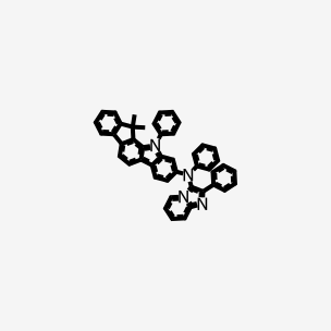 CC1(C)c2ccccc2-c2ccc3c4ccc(N(c5ccccc5)c5c(-c6ccccc6)nc6ccccn56)cc4n(-c4ccccc4)c3c21